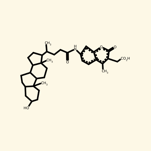 Cc1c(CC(=O)O)c(=O)oc2cc(NC(=O)CCC(C)C3CCC4C5CCC6CC(O)CCC6(C)C5CCC34C)ccc12